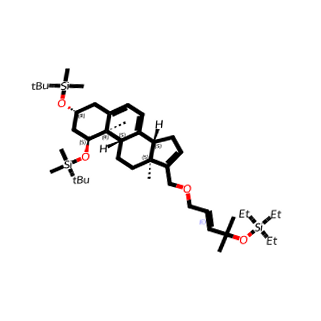 CC[Si](CC)(CC)OC(C)(C)/C=C/COCC1=CC[C@H]2C3=CC=C4C[C@@H](O[Si](C)(C)C(C)(C)C)C[C@H](O[Si](C)(C)C(C)(C)C)[C@]4(C)[C@H]3CC[C@]12C